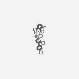 O=C(NC(=O)c1c(F)cccc1Cl)Nc1ccc(-c2ccc(Cl)cc2)c(Cl)n1